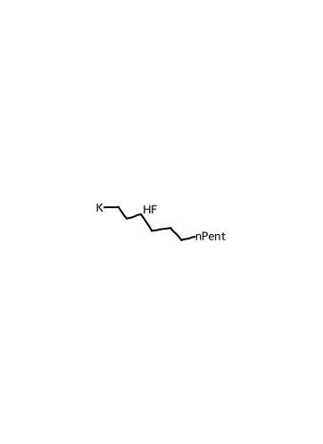 CCCCCCCCCC[CH2][K].F